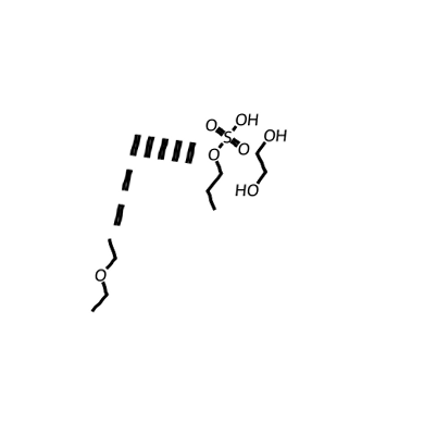 C=C.C=C.C=C.C=C.C=C.C=C.C=C.CCCOS(=O)(=O)O.CCOCC.OCCO